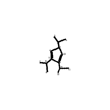 CC(C)[C]1C=C(C(C)C)C(C(C)C)=C1